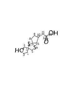 CCC1(CO)CSC2(CCC(CC(=O)O)C2)S1